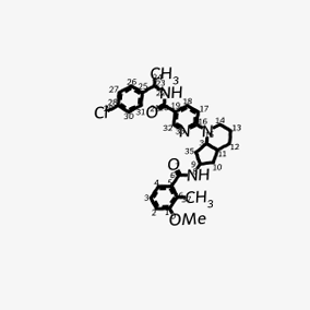 COc1cccc(C(=O)NC2CC3CCCN(c4ccc(C(=O)NC(C)c5ccc(Cl)cc5)cn4)C3C2)c1C